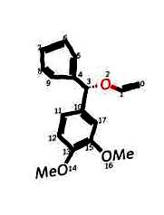 C=CO[C@@H](c1ccccc1)c1ccc(OC)c(OC)c1